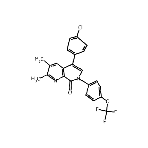 Cc1cc2c(-c3ccc(Cl)cc3)cn(-c3ccc(OC(F)(F)F)cc3)c(=O)c2nc1C